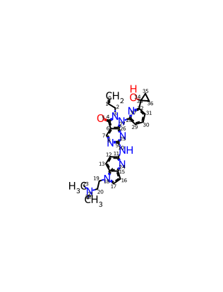 C=CCn1c(=O)c2cnc(Nc3ccc4c(ccn4CCN(C)C)n3)nc2n1-c1cccc(C2(O)CC2)n1